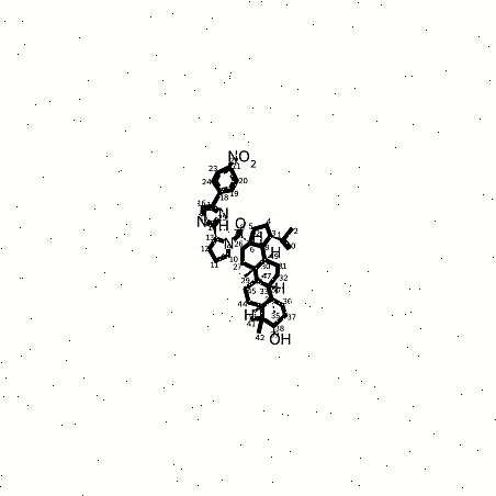 C=C(C)[C@@H]1CC[C@]2(C(=O)N3CCC[C@H]3c3ncc(-c4ccc([N+](=O)[O-])cc4)[nH]3)CC[C@]3(C)[C@H](CC[C@@H]4[C@@]5(C)CC[C@H](O)C(C)(C)[C@@H]5CC[C@]43C)[C@@H]12